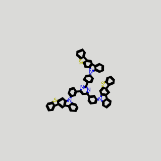 c1cc(-c2cc(-c3cccc(-n4c5ccccc5c5cc6c(cc54)sc4ccccc46)c3)nc(-c3ccc(-n4c5ccccc5c5cc6c(cc54)sc4ccccc46)cc3)n2)cc(-n2c3ccccc3c3cc4c(cc32)sc2ccccc24)c1